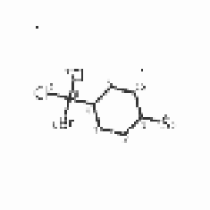 [S]C1CCC(C(Cl)(Cl)Br)CC1